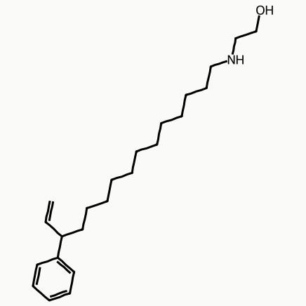 C=CC(CCCCCCCCCCCCNCCO)c1ccccc1